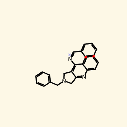 C(=N/c1c2c(nc3ccccc13)CN(Cc1ccccc1)C2)/c1ccccc1